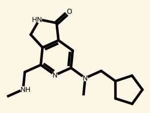 CNCc1nc(N(C)CC2CCCC2)cc2c1CNC2=O